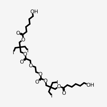 O=C(CCCCCO)OCC(CI)(CI)COC(=O)COCCOC(=O)OCC(CI)(CI)COC(=O)CCCCCO